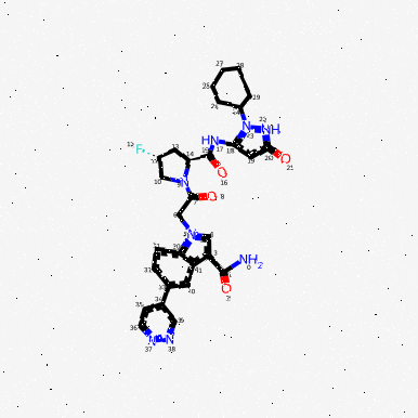 NC(=O)c1cn(CC(=O)N2C[C@H](F)C[C@H]2C(=O)Nc2cc(=O)[nH]n2C2CCCCC2)c2ccc(-c3ccnnc3)cc12